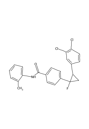 Cc1ccccc1NC(=O)c1ccc(C2(F)CC2c2ccc(Cl)c(Cl)c2)cc1